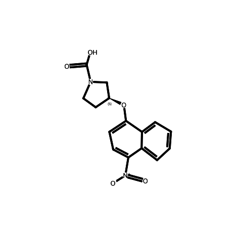 O=C(O)N1CC[C@H](Oc2ccc([N+](=O)[O-])c3ccccc23)C1